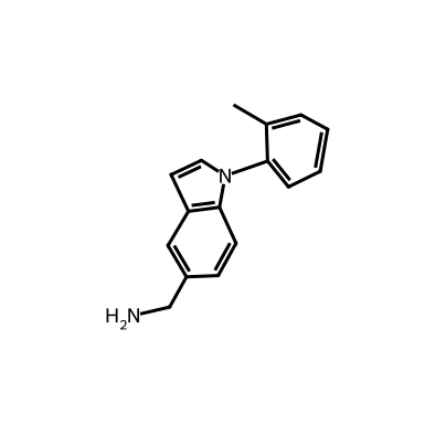 Cc1ccccc1-n1ccc2cc(CN)ccc21